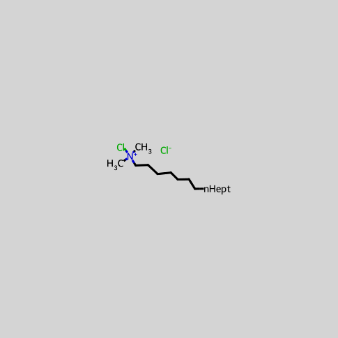 CCCCCCCCCCCCCC[N+](C)(C)Cl.[Cl-]